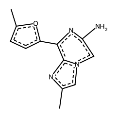 Cc1cn2cc(N)nc(-c3ccc(C)o3)c2n1